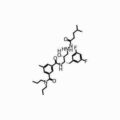 CCCN(CCC)C(=O)c1cc(C)cc(C(=O)N[C@@H](Cc2cc(F)cc(F)c2)[C@H](O)CNNC(=O)CCC(C)C)c1